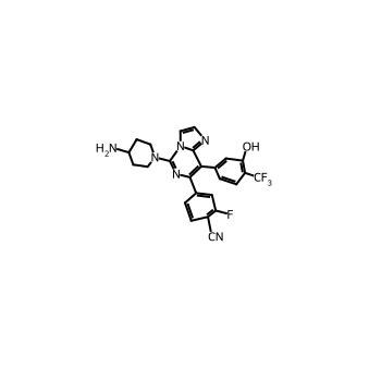 N#Cc1ccc(-c2nc(N3CCC(N)CC3)n3ccnc3c2-c2ccc(C(F)(F)F)c(O)c2)cc1F